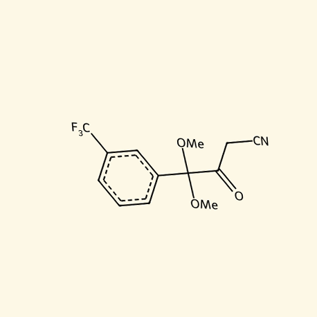 COC(OC)(C(=O)CC#N)c1cccc(C(F)(F)F)c1